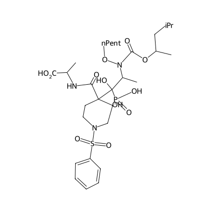 CCCCCON(C(=O)OC(C)CC(C)C)C(C)C(O)(C1(C(=O)NC(C)C(=O)O)CCN(S(=O)(=O)c2ccccc2)CC1)P(=O)(O)O